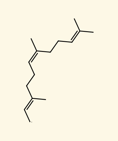 [CH2]/C=C(\C)CC/C=C(/C)CCC=C(C)C